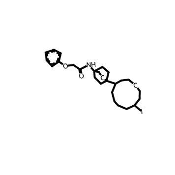 O=C(COc1ccccc1)NC12CCC(C3CCCCCC(I)CCCC3)(CC1)CC2